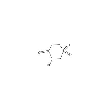 O=C1CCS(=O)(=O)CC1Br